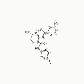 CC1CCN(C(=O)Nc2ccc(F)cn2)c2nc(-c3cccc(C(F)(F)F)c3)ccc21